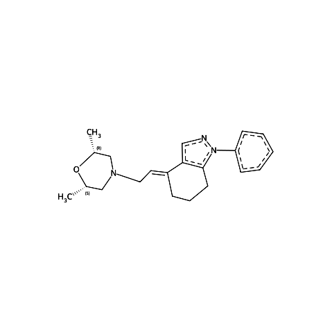 C[C@@H]1CN(CC=C2CCCc3c2cnn3-c2ccccc2)C[C@H](C)O1